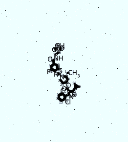 CC[C@@H]1C[C@H](OC(=O)c2c(-c3c(Cl)cccc3Cl)noc2C2CC2)CCN1c1nc2c(F)cc(C(=O)NCCS(=O)(=O)O)cc2s1